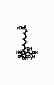 CCCCCCCCCCCCCCCCCCC(C(=O)O)(C(O)CO)P(=O)(O)O